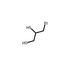 CCCC(S)CO